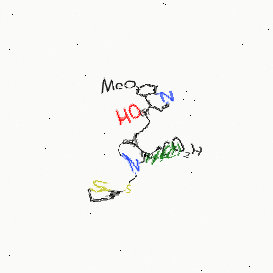 COc1ccc2nccc([C@@H](O)CC[C@@H]3CCN(CCSc4cccs4)C[C@@H]3CC(=O)O)c2c1.Cl.Cl